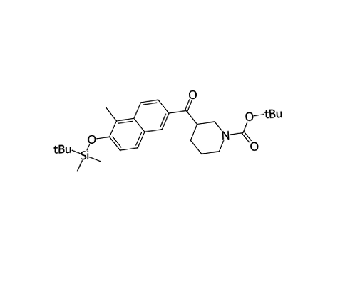 Cc1c(O[Si](C)(C)C(C)(C)C)ccc2cc(C(=O)C3CCCN(C(=O)OC(C)(C)C)C3)ccc12